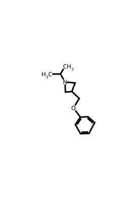 CC(C)N1CC(COc2ccccc2)C1